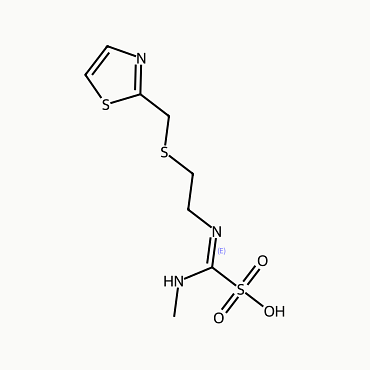 CN/C(=N\CCSCc1nccs1)S(=O)(=O)O